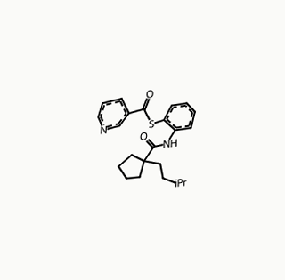 CC(C)CCC1(C(=O)Nc2ccccc2SC(=O)c2cccnc2)CCCC1